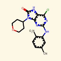 N#Cc1ccc([N+](=O)[O-])c(Nc2nc(Cl)c3[nH]c(=O)n(C4CCOCC4)c3n2)c1